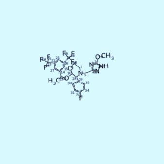 COc1nc(CN2CCOC(OC(C)c3cc(C(F)(F)F)cc(C(F)(F)F)c3)C2c2ccc(F)cc2)n[nH]1